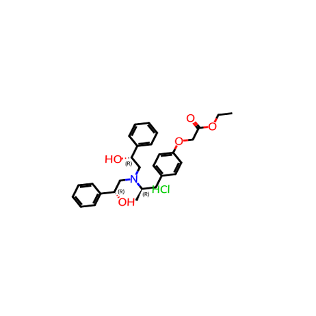 CCOC(=O)COc1ccc(C[C@@H](C)N(C[C@H](O)c2ccccc2)C[C@H](O)c2ccccc2)cc1.Cl